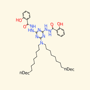 CCCCCCCCCCCCCCCCCCN(CCCCCCCCCCCCCCCCCC)c1nc(NNC(=O)c2ccccc2O)nc(NNC(=O)c2ccccc2O)n1